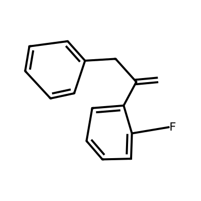 C=C(Cc1ccccc1)c1ccccc1F